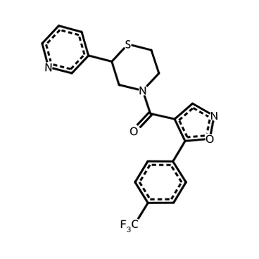 O=C(c1cnoc1-c1ccc(C(F)(F)F)cc1)N1CCSC(c2cccnc2)C1